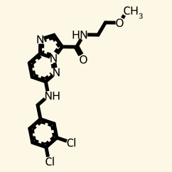 COCCNC(=O)c1cnc2ccc(NCc3ccc(Cl)c(Cl)c3)nn12